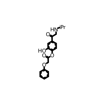 CC(C)NCC(=O)c1ccc(OC(=O)COc2ccccc2)c(O)c1